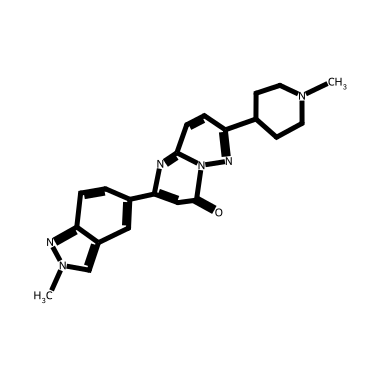 CN1CCC(c2ccc3nc(-c4ccc5nn(C)cc5c4)cc(=O)n3n2)CC1